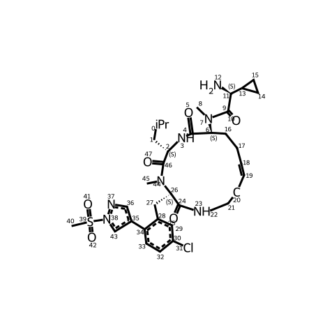 CC(C)C[C@@H]1NC(=O)[C@@H](N(C)C(=O)[C@@H](N)C2CC2)CCC=CCCCNC(=O)[C@H](Cc2cc(Cl)ccc2-c2cnn(S(C)(=O)=O)c2)N(C)C1=O